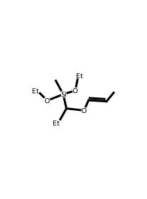 CC=COC(CC)[Si](C)(OCC)OCC